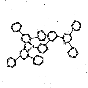 c1ccc(-c2cc(-c3ccccc3)c3c(c2)c2cc(-c4ccccc4)cc(-c4ccccc4)c2n3-c2cccc(-c3cccc(-c4nc(-c5ccccc5)cc(-c5ccccc5)n4)c3)c2)cc1